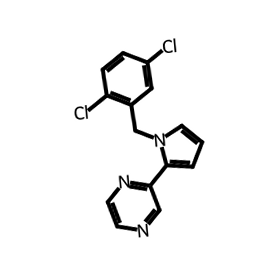 Clc1ccc(Cl)c(Cn2cccc2-c2cnccn2)c1